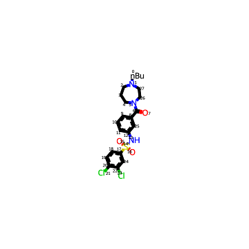 CCCCN1CCCN(C(=O)c2cccc(NS(=O)(=O)c3ccc(Cl)c(Cl)c3)c2)CC1